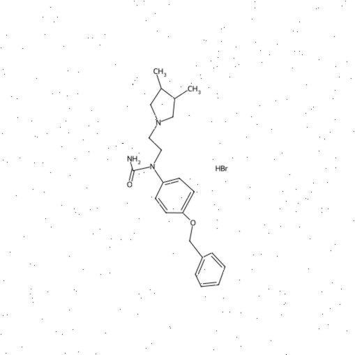 Br.CC1CN(CCN(C(N)=O)c2ccc(OCc3ccccc3)cc2)CC1C